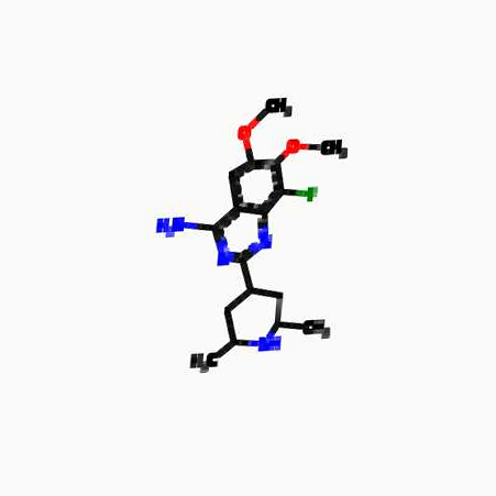 COc1cc2c(N)nc(C3CC(C)NC(C)C3)nc2c(F)c1OC